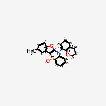 Cc1ccc2oc3c(c2c1)[S+]([O-])c1ccccc1N3c1cccc2c1OCCC2